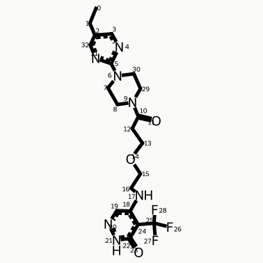 CCc1cnc(N2CCN(C(=O)CCOCCNc3cn[nH]c(=O)c3C(F)(F)F)CC2)nc1